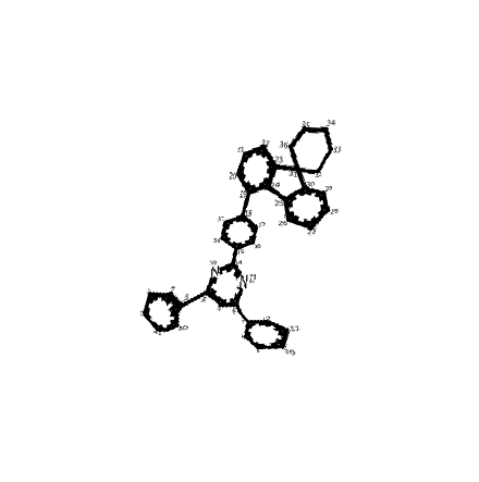 c1ccc(-c2cc(-c3ccccc3)nc(-c3ccc(-c4cccc5c4-c4ccccc4C54CCCCC4)cc3)n2)cc1